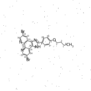 CCCCOc1ccc(-c2nc3c4cc(Br)cnc4c4ncc(Br)cc4c3[nH]2)cc1